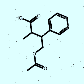 CC(=O)OCC(c1ccccc1)C(C)C(=O)O